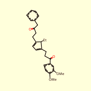 CCC1C(CCC(=O)Cc2ccccc2)=CC=C1CCC(=O)c1ccc(OC)c(OC)c1